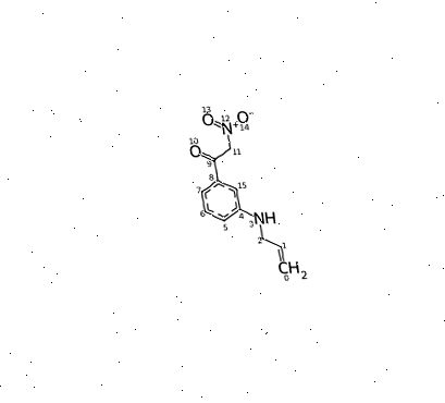 C=CCNc1cccc(C(=O)C[N+](=O)[O-])c1